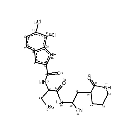 CC(C)(C)CC(NC(=O)c1cc2ccc(Cl)c(Cl)c2[nH]1)C(=O)NC(C#N)CC1CCCNC1=O